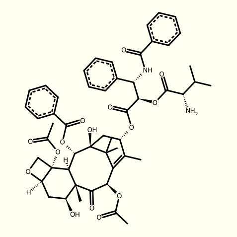 CC(=O)O[C@H]1C(=O)[C@@]2(C)[C@H]([C@H](OC(=O)c3ccccc3)[C@]3(O)C[C@H](OC(=O)[C@H](OC(=O)[C@@H](N)C(C)C)[C@@H](NC(=O)c4ccccc4)c4ccccc4)C(C)=C1C3(C)C)[C@]1(OC(C)=O)CO[C@@H]1C[C@@H]2O